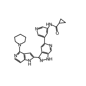 O=C(Nc1cncc(-c2cc3c(-c4cc5c(N6CCCCC6)nccc5[nH]4)n[nH]c3cn2)c1)C1CC1